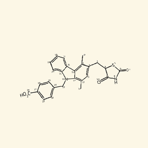 Cc1c(CC2SC(=O)NC2=O)cc(C)c2c1c1ccccc1n2Cc1ccc(C(=O)O)cc1